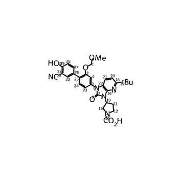 COCOc1cc(-n2c(=O)n(C3CCN(C(=O)O)C3)c3nc(C(C)(C)C)ccc32)ccc1-c1ccc(O)c(C#N)c1